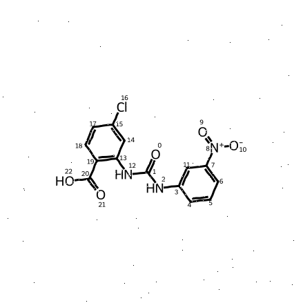 O=C(Nc1cccc([N+](=O)[O-])c1)Nc1cc(Cl)ccc1C(=O)O